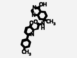 CC1CC=C(C2=N[C@H](CC(=O)NC3(C)CCC4C(O)=NC=NC4C3)C(=O)C=C2)CC1